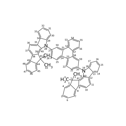 CC1(C)c2ccccc2-c2ccc3c4ccccc4n(-c4ccc5c6ccc(-n7c8ccccc8c8ccc9c(c87)C(C)(C)c7ccccc7-9)cc6c6ccccc6c5c4)c3c21